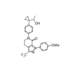 COc1ccc(-n2nc(C(F)(F)F)c3c2C(=O)N(c2ccc(C4(C(C)O)CC4)cc2)CC3)cc1